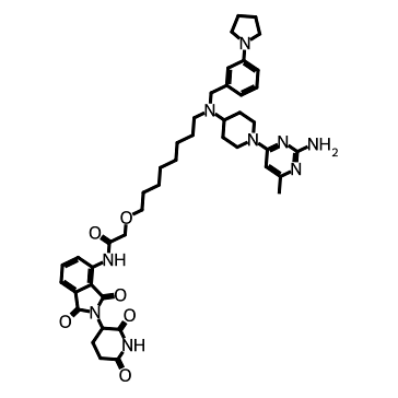 Cc1cc(N2CCC(N(CCCCCCCCOCC(=O)Nc3cccc4c3C(=O)N(C3CCC(=O)NC3=O)C4=O)Cc3cccc(N4CCCC4)c3)CC2)nc(N)n1